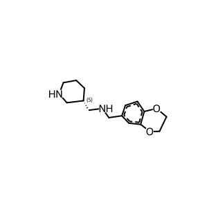 c1cc2c(cc1CNC[C@H]1CCCNC1)OCCO2